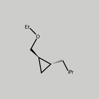 CCOC[C@@H]1C[C@H]1CC(C)C